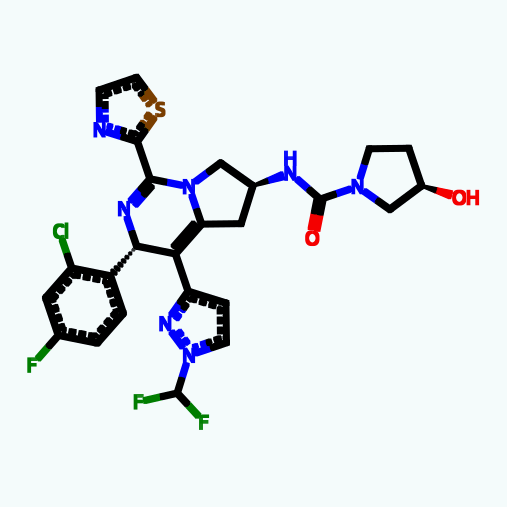 O=C(N[C@H]1CC2=C(c3ccn(C(F)F)n3)[C@H](c3ccc(F)cc3Cl)N=C(c3nccs3)N2C1)N1CC[C@@H](O)C1